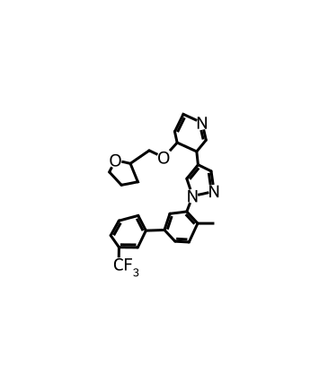 Cc1ccc(-c2cccc(C(F)(F)F)c2)cc1-n1cc(C2C=NC=CC2OCC2CCCO2)cn1